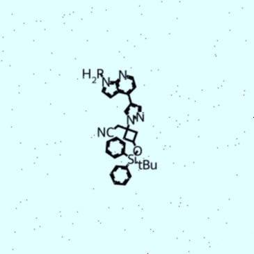 CC(C)(C)[Si](OC1CC(CC#N)(n2cc(-c3ccnc4c3ccn4P)cn2)C1)(c1ccccc1)c1ccccc1